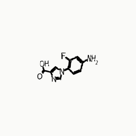 Nc1ccc(-n2cnc(C(=O)O)c2)c(F)c1